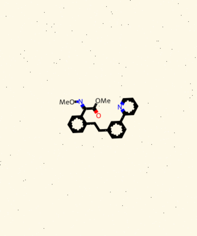 CO/N=C(/C(=O)OC)c1ccccc1CCc1cccc(-c2ccccn2)c1